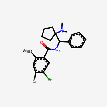 CCc1cc(OC)c(C(=O)NC(c2ccccc2)C2(N(C)C)CCCC2)cc1Br